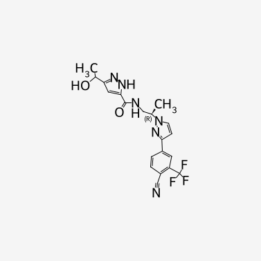 CC(O)c1cc(C(=O)NC[C@@H](C)n2ccc(-c3ccc(C#N)c(C(F)(F)F)c3)n2)[nH]n1